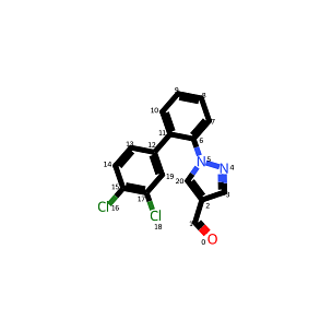 O=Cc1cnn(-c2ccccc2-c2ccc(Cl)c(Cl)c2)c1